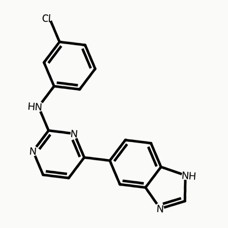 Clc1cccc(Nc2nccc(-c3ccc4[nH]cnc4c3)n2)c1